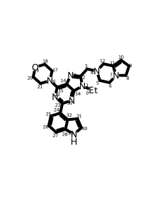 CCn1c(CN2CCN3CCC=C3C2)nc2c(N3CCOCC3)nc(-c3cccc4[nH]ccc34)nc21